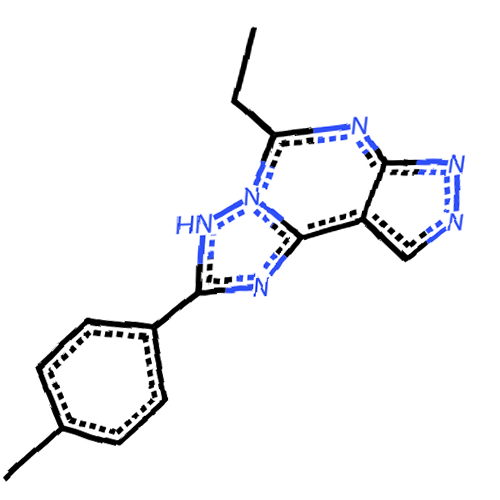 CCc1nc2nncc-2c2nc(-c3ccc(C)cc3)[nH]n12